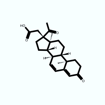 CC(=O)[C@@]1(CC(=O)O)CC[C@H]2[C@@H]3C=CC4=CC(=O)CC[C@]4(C)[C@H]3CC[C@@]21C